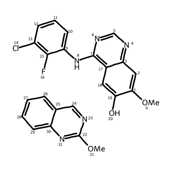 COc1cc2ncnc(Nc3cccc(Cl)c3F)c2cc1O.COc1ncc2ccccc2n1